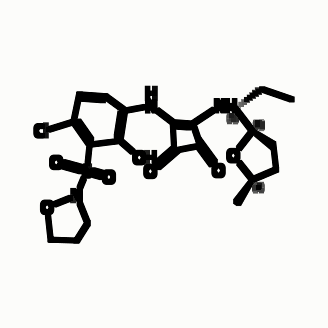 CC[C@@H](Nc1c(Nc2ccc(Cl)c(S(=O)(=O)N3CCCO3)c2O)c(=O)c1=O)[C@H]1CC[C@@H](C)O1